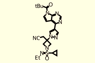 CCN=S(=O)(C1CC1)N1CC(CC#N)(n2cc(-c3ncnc4c3ccn4C(=O)C(C)(C)C)cn2)C1